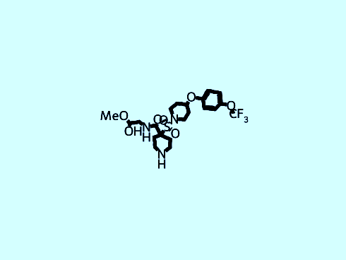 COC(O)CNC(=O)C1(S(=O)(=O)N2CCC(Oc3ccc(OC(F)(F)F)cc3)CC2)CCNCC1